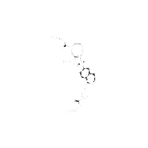 C[C@@H]1CN(C(=O)OC(C)(C)C)CCCCN1S(=O)(=O)c1ccc2c(SCCNC(=O)OC(C)(C)C)nccc2c1